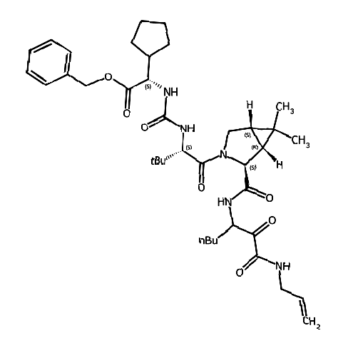 C=CCNC(=O)C(=O)C(CCCC)NC(=O)[C@@H]1[C@@H]2[C@H](CN1C(=O)[C@@H](NC(=O)N[C@H](C(=O)OCc1ccccc1)C1CCCC1)C(C)(C)C)C2(C)C